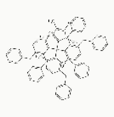 CC1=C(C)C(C)C([Si](c2c(C)ccc(Cc3ccccc3)c2Cc2ccccc2)(c2c(C)ccc(Cc3ccccc3)c2Cc2ccccc2)c2c(C)ccc(Cc3ccccc3)c2Cc2ccccc2)=C1C